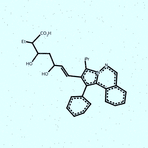 CCC(C(=O)O)C(O)CC(O)C=Cc1c(-c2ccccc2)c2c3ccccc3cnn2c1C(C)C